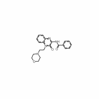 O=C(Nc1nc2ccccc2n(CCN2CCOCC2)c1=O)c1ccccc1